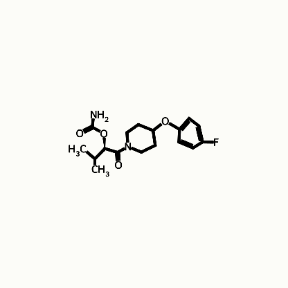 CC(C)[C@@H](OC(N)=O)C(=O)N1CCC(Oc2ccc(F)cc2)CC1